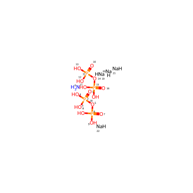 N.O=P(O)(O)OP(=O)(O)O.O=P(O)(O)OP(=O)(O)O.[NaH].[NaH].[NaH].[NaH]